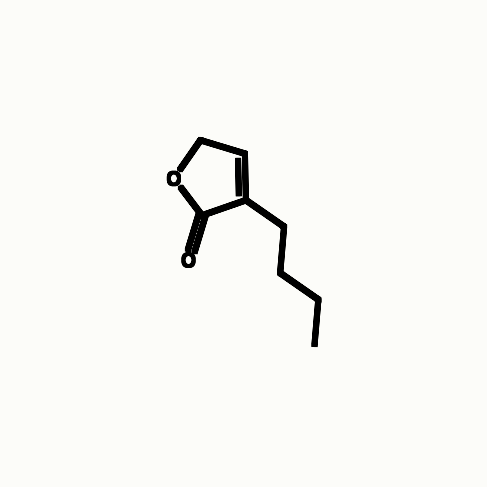 CCCCC1=CCOC1=O